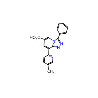 Cc1ccc(-c2cc(C(=O)O)cn3c(-c4ccccc4)nnc23)nc1